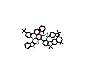 CC(C)(C)c1ccc(Nc2c(-c3c4c(cc5c3oc3ccccc35)N(c3ccc(C(C)(C)C)cc3-c3ccccc3)c3c(sc5ccccc35)B4)ccc3c2-c2cc4c(cc2C3(C)C)C(C)(C)CCC4(C)C)cc1